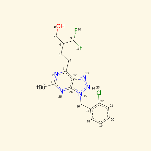 CC(C)(C)c1nc(CCC(CO)C(F)F)c2nnn(Cc3ccccc3Cl)c2n1